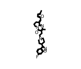 Cc1ccc(C=C2CCCn3c2nc(C)c(CCN2CCC(c4noc5cc(F)ccc45)CC2)c3=O)o1